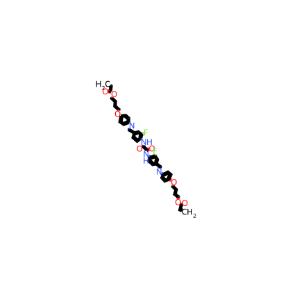 C=CC(=O)OCCCCOc1ccc(/N=C/c2ccc(NC(=O)C(=O)Nc3ccc(/C=N/c4ccc(OCCCCOC(=O)C=C)cc4)cc3F)c(F)c2)cc1